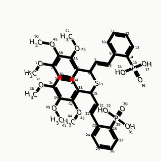 COc1ccc(C(C=Cc2ccccc2P(=O)(O)O)SC(C=Cc2ccccc2P(=O)(O)O)c2ccc(OC)c(OC)c2OC)c(OC)c1OC